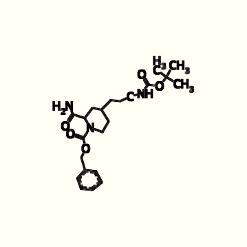 CC(C)(C)OC(=O)NCCCC1CCN(C(=O)OCc2ccccc2)C(C(N)=O)C1